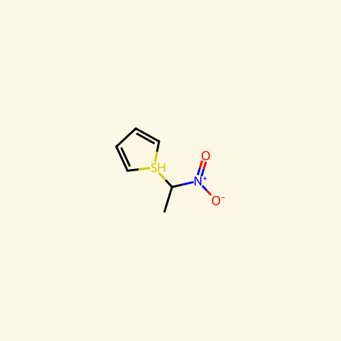 CC([N+](=O)[O-])[SH]1C=CC=C1